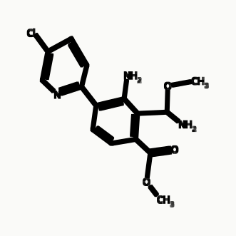 COC(=O)c1ccc(-c2ccc(Cl)cn2)c(N)c1C(N)OC